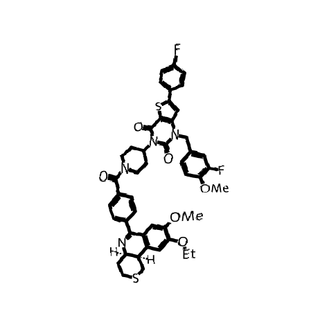 CCOc1cc2c(cc1OC)C(c1ccc(C(=O)N3CCC(n4c(=O)c5sc(-c6ccc(F)cc6)cc5n(Cc5ccc(OC)c(F)c5)c4=O)CC3)cc1)=N[C@@H]1CCSC[C@H]21